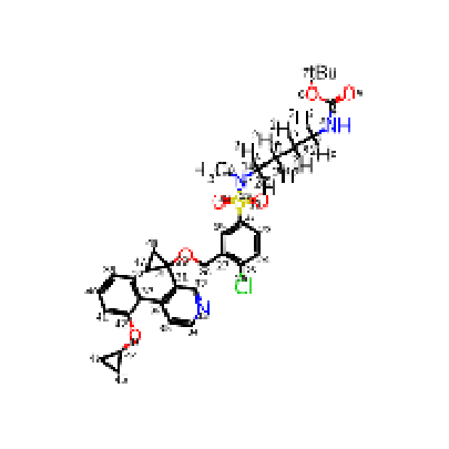 [2H]C([2H])(NC(=O)OC(C)(C)C)C([2H])([2H])C([2H])([2H])C([2H])([2H])N(C)S(=O)(=O)c1ccc(Cl)c(COC2(c3cnccc3-c3ccccc3OC3CC3)CC2)c1